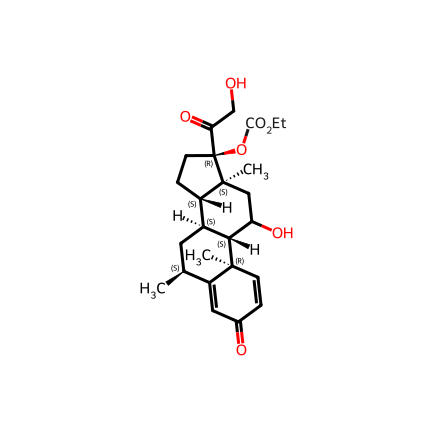 CCOC(=O)O[C@]1(C(=O)CO)CC[C@H]2[C@@H]3C[C@H](C)C4=CC(=O)C=C[C@]4(C)[C@H]3C(O)C[C@@]21C